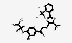 CC(C)c1nc(-c2ccccc2C(F)(F)F)sc1CCC(=O)c1ccc(OC(C)(C)C(=O)O)c(Cl)c1